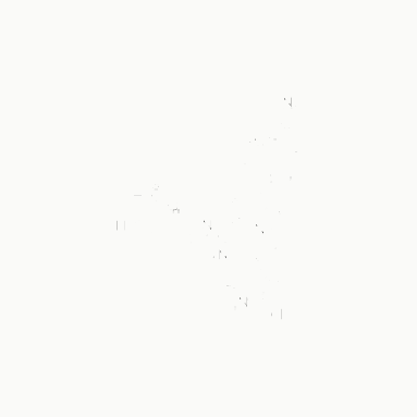 COC(CNC1=Nc2cnc(Cl)cc2Cn2cc(-c3ccc(C#N)cc3)cc21)OC